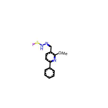 COc1nc(-c2ccccc2)ccc1/C=N\NSI